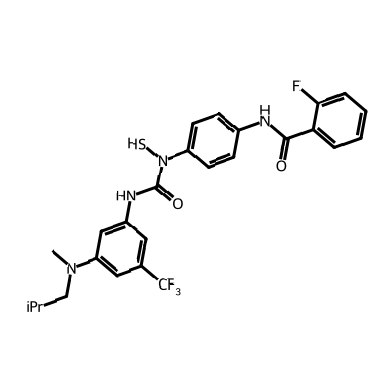 CC(C)CN(C)c1cc(NC(=O)N(S)c2ccc(NC(=O)c3ccccc3F)cc2)cc(C(F)(F)F)c1